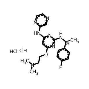 C[C@H](Nc1nc(Nc2cnccn2)cc(OCCN(C)C)n1)c1ccc(F)cc1.Cl.Cl